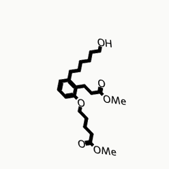 COC(=O)CCCCOc1cccc(CCCCCCO)c1CCC(=O)OC